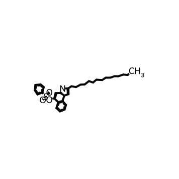 CCCCCCCCCCCCCCCC1=CC2C(=N1)C=C(OS(=O)(=O)c1ccccc1)c1ccccc12